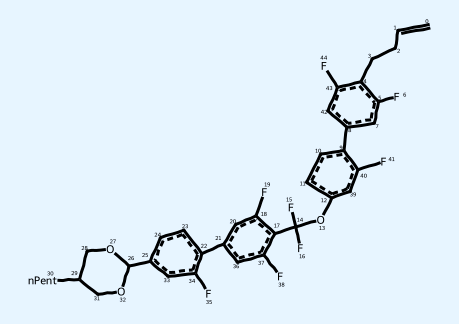 C=CCCc1c(F)cc(-c2ccc(OC(F)(F)c3c(F)cc(-c4ccc(C5OCC(CCCCC)CO5)cc4F)cc3F)cc2F)cc1F